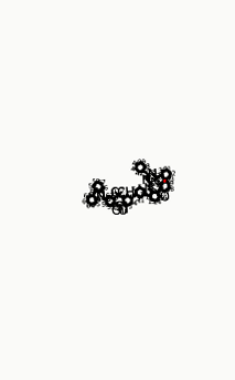 CC1(C)c2cc(-c3ccc4c(c3)c3ccc5oc6ccccc6c5c3n4-c3nc(-c4ccccc4)nc(-c4ccccc4)n3)ccc2S(=O)(=O)c2ccc(-n3c4ccccc4c4ccccc43)cc21